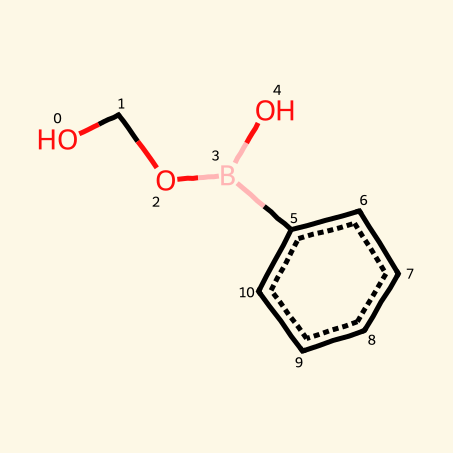 OCOB(O)c1ccccc1